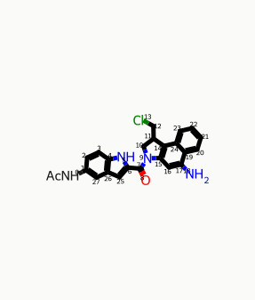 CC(=O)Nc1ccc2[nH]c(C(=O)N3CC(CCl)c4c3cc(N)c3ccccc43)cc2c1